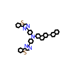 c1ccc2cc(-c3ccc4c(ccc5cc(N(c6ccc(-c7ncc8sc9ccccc9c8n7)cc6)c6ccc(-c7ncc8sc9ccccc9c8n7)cc6)ccc54)c3)ccc2c1